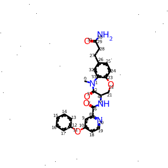 CN1C(=O)C(NC(=O)c2cc(Oc3ccccc3)ccn2)COc2ccc(CCC(N)=O)cc21